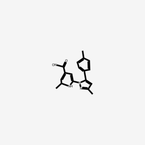 Cc1ccc(-c2cc(C)nn2C2=CC(C(=O)N=O)=CC(C)N2)cc1